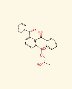 CC(O)COC(=O)c1cccc(C(=O)c2ccccc2)c1C(=O)c1ccccc1